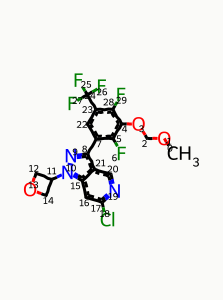 COCOc1c(F)c(-c2nn(C3COC3)c3cc(Cl)ncc23)cc(C(F)(F)F)c1F